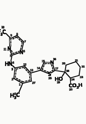 Cc1cc(Nc2nccc(C(F)(F)F)n2)cc(-c2cnc(C3(O)CCCCC3C(=O)O)s2)c1